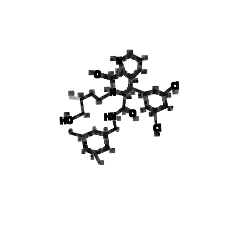 Cc1cc(C)cc(CNC(=O)c2c(-c3cc(Cl)cc(Cl)c3)c3cccnc3c(=O)n2CC[C@@H](C)CO)c1